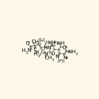 CN(C)C(=O)N[C@@]1(Nc2ccc(C(C)(C)C(N)=O)cc2)CNCC(c2nccnc2C(N)=O)C1